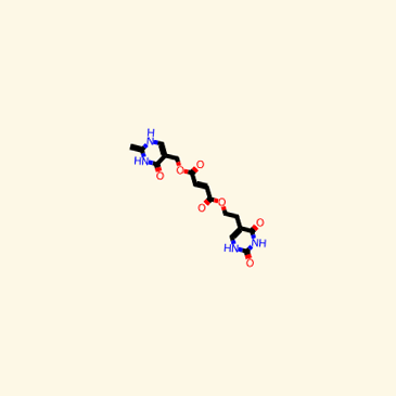 C=C1NC=C(COC(=O)/C=C/C(=O)OCCc2c[nH]c(=O)[nH]c2=O)C(=O)N1